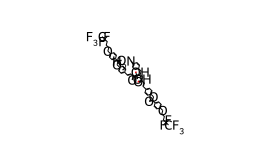 Nc1ccc(CC(CC(=O)/C=C/c2ccc(OC(=O)c3ccc(OCCCC(F)(F)C(F)(F)F)cc3)cc2)C(O)(O)C(=O)/C=C/c2ccc(OC(=O)c3ccc(OCCCC(F)(F)C(F)(F)F)cc3)cc2)cc1